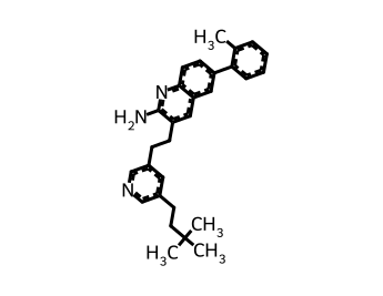 Cc1ccccc1-c1ccc2nc(N)c(CCc3cncc(CCC(C)(C)C)c3)cc2c1